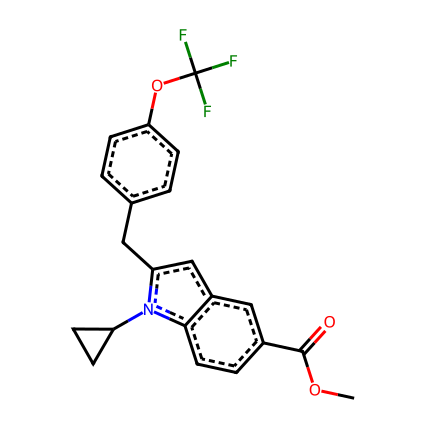 COC(=O)c1ccc2c(c1)cc(Cc1ccc(OC(F)(F)F)cc1)n2C1CC1